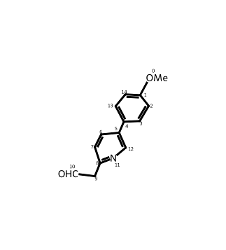 COc1ccc(-c2ccc(CC=O)nc2)cc1